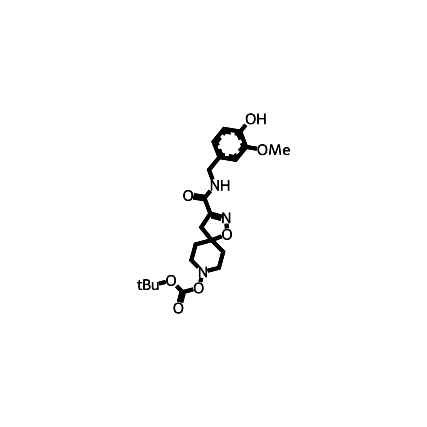 COc1cc(CNC(=O)C2=NOC3(CCN(OC(=O)OC(C)(C)C)CC3)C2)ccc1O